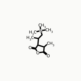 CC(C[Si](C)(C)C)C1C(=O)OC(=O)C1C